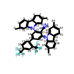 Cc1ccc2c3ccc(C)cc3n(-c3cc(-c4ccc(C(F)(F)F)cc4C(F)(F)F)cc(-n4c5cc(C)ccc5c5ccc(C)cc54)c3C#N)c2c1